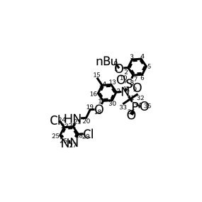 CCCCOc1ccccc1S(=O)(=O)N(c1cc(C)cc(OCCNc2c(Cl)cnnc2Cl)c1)C(C)(C)P(=O)=O